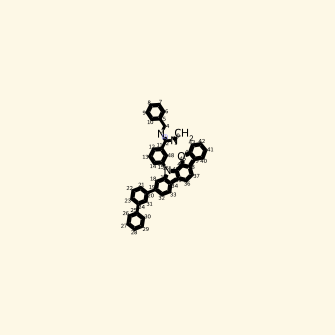 C=N/C(=N\Cc1ccccc1)c1cccc(-n2c3cc(-c4cccc(-c5ccccc5)c4)ccc3c3ccc4c5ccccc5oc4c32)c1